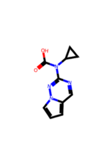 O=C(O)N(c1ncc2cccn2n1)C1CC1